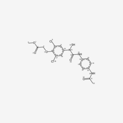 COC(=O)COc1c(Cl)cc(N(S)C(=O)Nc2ccc(NC(C)=O)cc2)cc1Cl